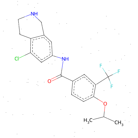 CC(C)Oc1ccc(C(=O)Nc2cc(Cl)c3c(c2)CNCC3)cc1C(F)(F)F